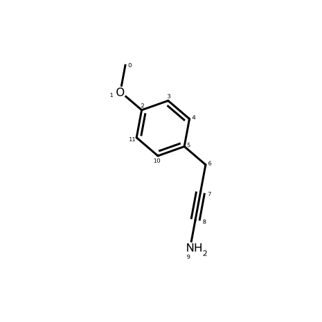 COc1ccc(CC#CN)cc1